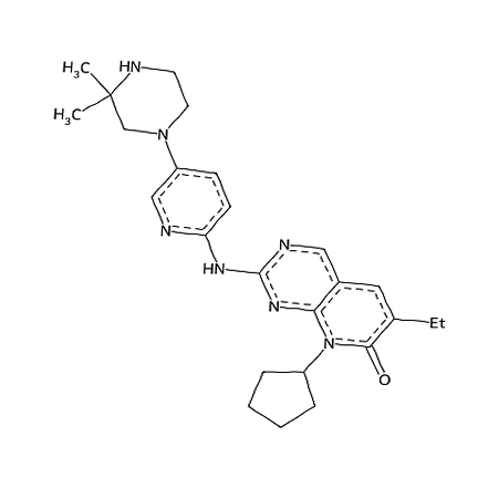 CCc1cc2cnc(Nc3ccc(N4CCNC(C)(C)C4)cn3)nc2n(C2CCCC2)c1=O